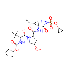 C=CC1CC1(NC(=O)C1CC(O)CN1C(=O)C(NC(=O)OC1CCCC1)C(C)(C)C)C(=O)NS(=O)(=O)OC1CC1